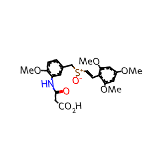 COc1cc(OC)c(C=C[S+]([O-])Cc2ccc(OC)c(NC(=O)CC(=O)O)c2)c(OC)c1